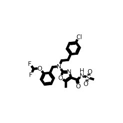 Cc1oc(N(CCc2ccc(Cl)cc2)Cc2ccccc2OC(F)F)nc1C(=O)NS(C)(=O)=O